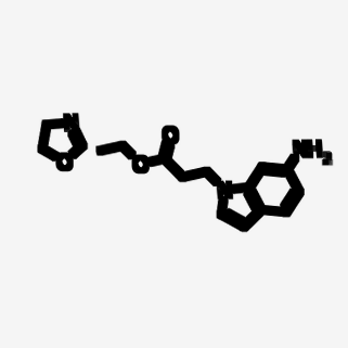 C1=NCCO1.CCOC(=O)CCn1ccc2ccc(N)cc21